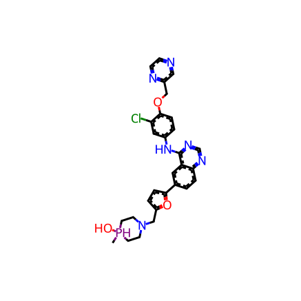 C[PH]1(O)CCN(Cc2ccc(-c3ccc4ncnc(Nc5ccc(OCc6cnccn6)c(Cl)c5)c4c3)o2)CC1